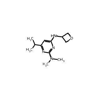 CC(C)c1cc(NC2COC2)nc(N(C)C)n1